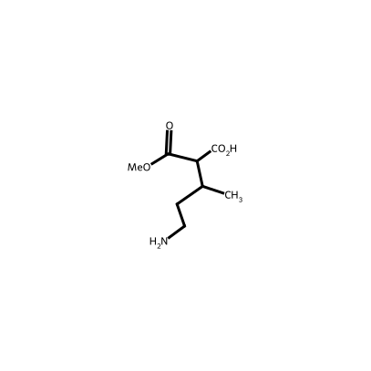 COC(=O)C(C(=O)O)C(C)CCN